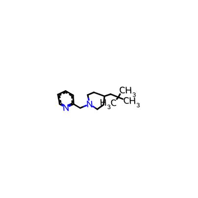 CC(C)(C)CC1CCN(Cc2ccccn2)CC1